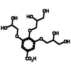 O=C(O)c1cc(OCC(O)O)c(OCC(O)CO)c(OCC(O)CO)c1